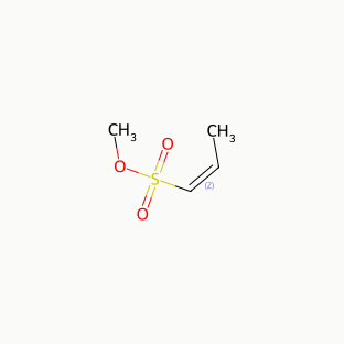 C/C=C\S(=O)(=O)OC